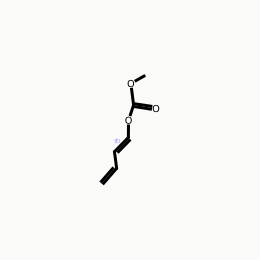 C=C/C=C/OC(=O)OC